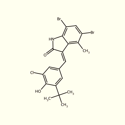 Cc1c(Br)cc(Br)c2c1C(=Cc1cc(Cl)c(O)c(C(C)(C)C)c1)C(=O)N2